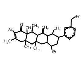 C=C1C2C(C)C(c3cccc(CC(C)C)c3)CC(C(C)C)C2CC2(C)CC3(C)CC(C)=C(C(C)=O)C(=O)C3(C)C(C)C12